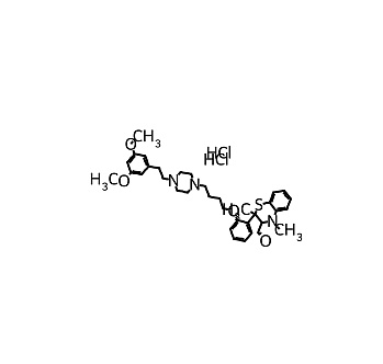 COc1cc(CCN2CCN(CCCCOc3ccccc3C3(C)Sc4ccccc4N(C)C3C=O)CC2)cc(OC)c1.Cl.Cl